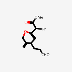 C=C1COC(C(C(=O)OC)C(C)C)=CC1CCC=O